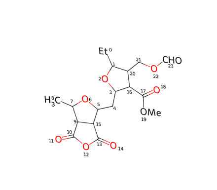 CCC1OC(CC2OC(C)C3C(=O)OC(=O)C23)C(C(=O)OC)C1COC=O